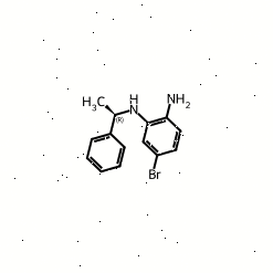 C[C@@H](Nc1cc(Br)ccc1N)c1ccccc1